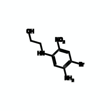 Nc1cc(NCCO)c([N+](=O)[O-])cc1Br